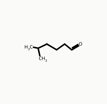 CC(C)[CH]CCC=O